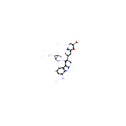 CNc1cc(F)c(F)c2c1[nH]c1ncc(-c3cnc4c(c3)c(=O)c(C(=O)O)cn4C)c(N3C[C@@H]4[C@H](C3)[C@@H]4N(C)C)c12